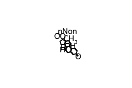 CCCCCCCCCC(=O)O[C@H]1CC[C@H]2[C@@H]3CCC4=CC(=O)C=C[C@]4(O)[C@H]3CC[C@]12C